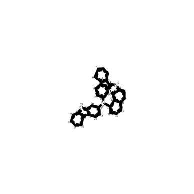 c1ccc(-c2nc3ccc4cccc(N(c5ccccc5)c5ccc6c(c5)oc5ccccc56)c4c3o2)cc1